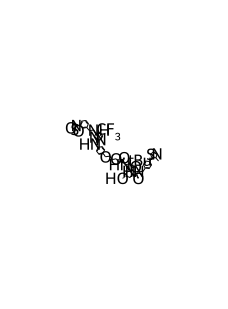 Cc1ncsc1-c1ccc(CNC(=O)[C@@H]2C[C@@H](O)CN2C(=O)C(NC(=O)COCCOc2ccc(Nc3ncc(C(F)(F)F)c(NCc4cccc(N(C)S(C)(=O)=O)c4)n3)cc2)C(C)(C)C)cc1